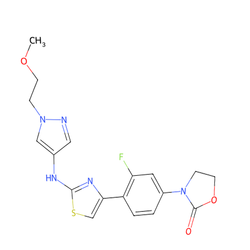 COCCn1cc(Nc2nc(-c3ccc(N4CCOC4=O)cc3F)cs2)cn1